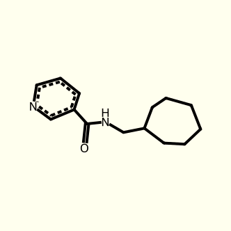 O=C(NCC1CCCCCC1)c1cccnc1